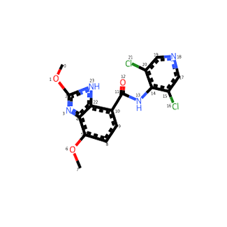 COc1nc2c(OC)ccc(C(=O)Nc3c(Cl)cncc3Cl)c2[nH]1